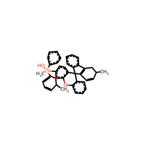 CC1C=CC=C(P(C)(O)(c2ccccc2)c2ccc3c(c2)Oc2ccccc2C32C3=C(CC(C)C=C3)c3ccccc32)C1